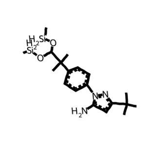 C[SiH2]OC(O[SiH2]C)C(C)(C)c1ccc(-n2nc(C(C)(C)C)cc2N)cc1